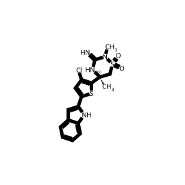 CN1C(=N)N[C@](C)(c2sc(-c3cc4ccccc4[nH]3)cc2Cl)CS1(=O)=O